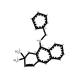 CC1(C)C=Cc2cc3ccccc3c(OCc3ccccc3)c2C1